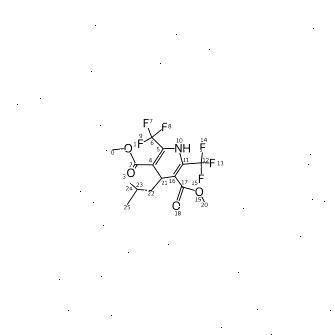 COC(=O)C1=C(C(F)(F)F)NC(C(F)(F)F)=C(C(=O)OC)C1CC(C)C